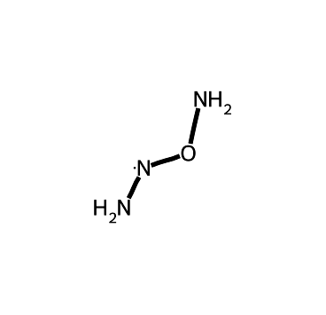 N[N]ON